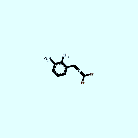 Cc1c(C=C=C(Br)Br)cccc1[N+](=O)[O-]